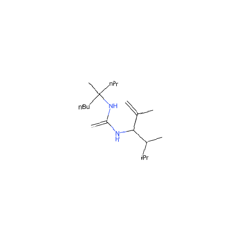 C=C(NC(C(=C)C)C(C)C(C)C)NC(C)(CCC)CCCC